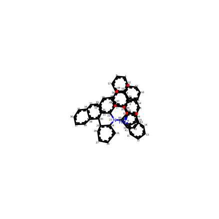 c1ccc(-c2ccc3c([nH]c4ccccc43)c2-c2ccccc2N(c2ccccc2-c2cccc3ccccc23)c2ccccc2-c2cccc3ccccc23)cc1